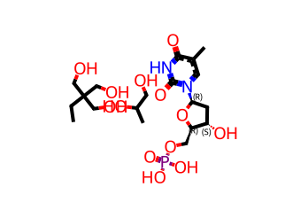 CC(O)CO.CCC(CO)(CO)CO.Cc1cn([C@H]2C[C@H](O)[C@@H](COP(=O)(O)O)O2)c(=O)[nH]c1=O